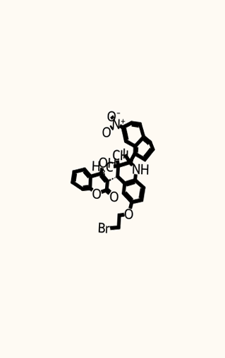 CC1(C)[C@@H](c2c(O)c3ccccc3oc2=O)c2cc(OCCBr)ccc2NC1(I)c1cccc2ccc([N+](=O)[O-])cc12